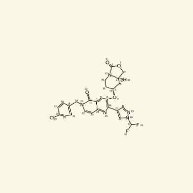 O=C1OC[C@@H]2C[C@@H](Oc3cc4c(=O)n(Cc5ccc(Cl)cc5)ccc4nc3-c3cnn(C(F)F)c3)CCN12